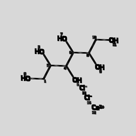 OCC(O)C(O)C(O)C(O)CO.[Ca+2].[Cl-].[Cl-]